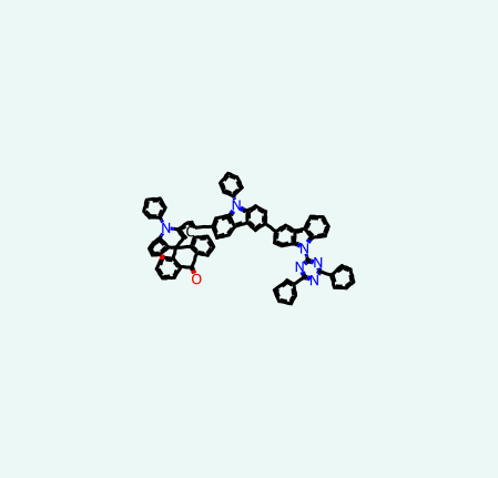 O=C1c2ccccc2C2(c3ccccc31)c1ccccc1N(c1ccccc1)c1ccc(-c3ccc4c5cc(-c6ccc7c(c6)c6ccccc6n7-c6nc(-c7ccccc7)nc(-c7ccccc7)n6)ccc5n(-c5ccccc5)c4c3)cc12